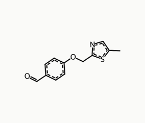 Cc1cnc(COc2ccc(C=O)cc2)s1